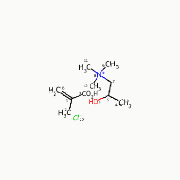 C=C(C)C(=O)O.CC(O)C[N+](C)(C)C.[Cl-]